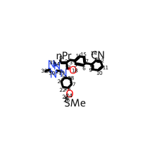 CCCc1c(Cc2ccc(-c3ccccc3C#N)cc2)c(=O)n([C@H]2CC[C@H](OCSC)CC2)c2nc(C)nn12